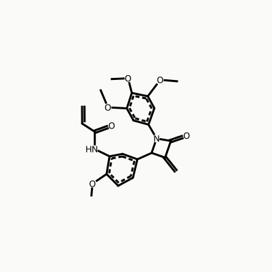 C=CC(=O)Nc1cc(C2C(=C)C(=O)N2c2cc(OC)c(OC)c(OC)c2)ccc1OC